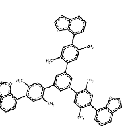 Cc1cc(-c2cccc3ccoc23)c(C)cc1-c1cc(-c2cc(C)c(-c3cccc4ccoc34)cc2C)cc(-c2cc(C)c(-c3cccc4ccoc34)cc2C)c1